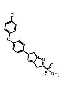 NS(=O)(=O)C1=NN2CC(c3ccc(Oc4ccc(Cl)cc4)cc3)N=C2S1